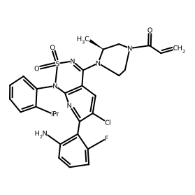 C=CC(=O)N1CCN(C2=NS(=O)(=O)N(c3ccccc3C(C)C)c3nc(-c4c(N)cccc4F)c(Cl)cc32)[C@@H](C)C1